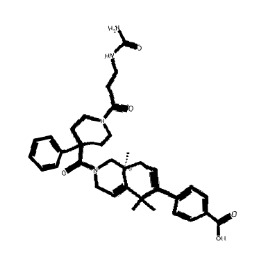 CC1(C)C(c2ccc(C(=O)O)cc2)=CC[C@]2(C)CN(C(=O)C3(c4ccccc4)CCN(C(=O)CCNC(N)=O)CC3)CC=C12